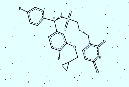 O=c1ccn(CCCS(=O)(=O)N[C@H](c2ccc(F)cc2)c2ccc(F)c(OCC3CC3)c2)c(=O)[nH]1